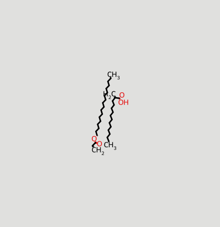 C=C(CCCCCCCCCCCCC)C(=O)O.C=CC(=O)OCCCCCCCCCCCCCCCCCC